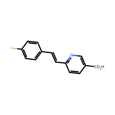 O=C(O)c1ccc(C=Cc2ccc(F)cc2)nc1